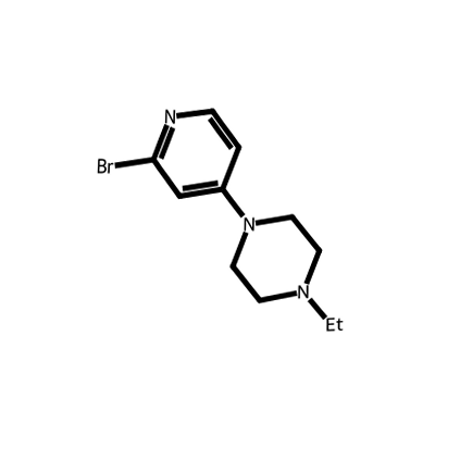 CCN1CCN(c2ccnc(Br)c2)CC1